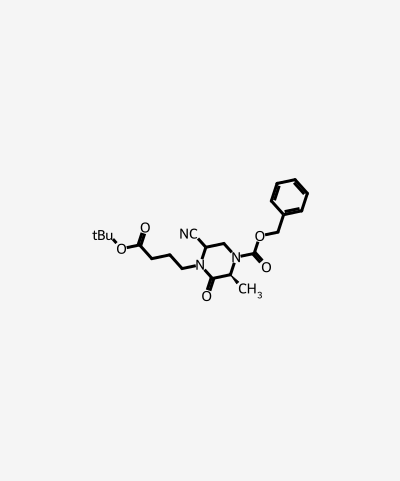 C[C@H]1C(=O)N(CCCC(=O)OC(C)(C)C)C(C#N)CN1C(=O)OCc1ccccc1